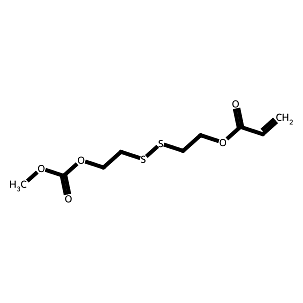 C=CC(=O)OCCSSCCOC(=O)OC